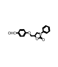 O=Cc1ccc(OCC2CN(c3ccccc3)C(=O)O2)cc1